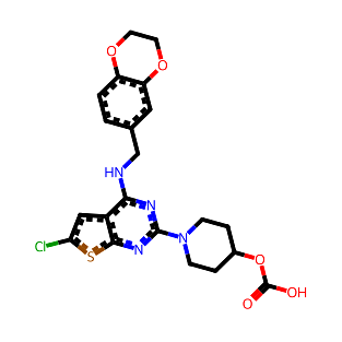 O=C(O)OC1CCN(c2nc(NCc3ccc4c(c3)OCCO4)c3cc(Cl)sc3n2)CC1